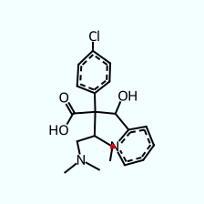 CCC(CN(C)C)C(C(=O)O)(c1ccc(Cl)cc1)C(O)c1ccccn1